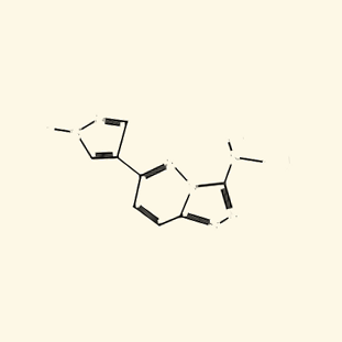 CC(C)n1cc(-c2ccc3nnc(N(C)C(=O)O)n3n2)cn1